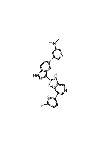 CN(C)c1cncc(-c2ccc3[nH]nc(-c4nc5c(-c6ccc(F)s6)cncc5[nH]4)c3c2)c1